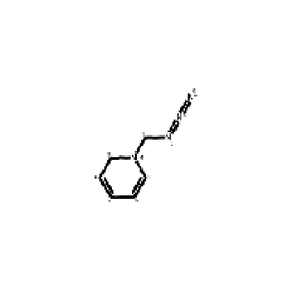 [N-]=[N+]=NCN1C=CC=CC1